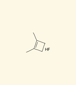 CC1=C(C)CC1.F